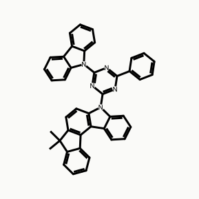 CC1(C)c2ccccc2-c2c1ccc1c2c2ccccc2n1-c1nc(-c2ccccc2)nc(-n2c3ccccc3c3ccccc32)n1